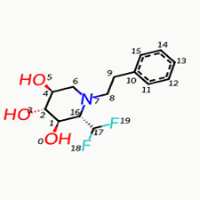 O[C@H]1[C@H](O)[C@@H](O)CN(CCc2ccccc2)[C@@H]1C(F)F